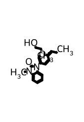 C\C=C(/C=C\C(=C/CC)OCCO)n1c(=O)n(C)c2ccccc21